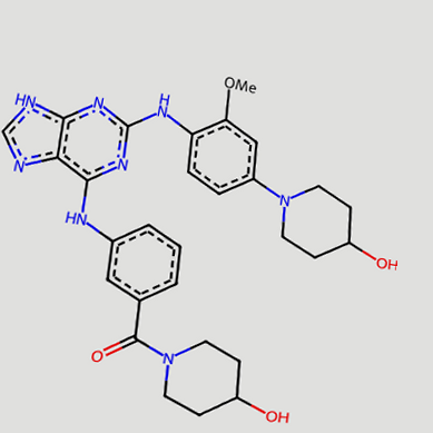 COc1cc(N2CCC(O)CC2)ccc1Nc1nc(Nc2cccc(C(=O)N3CCC(O)CC3)c2)c2nc[nH]c2n1